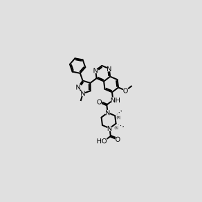 COc1cc2ncnc(-c3cn(C)nc3-c3ccccc3)c2cc1NC(=O)N1CCN(C(=O)O)[C@@H](C)[C@H]1C